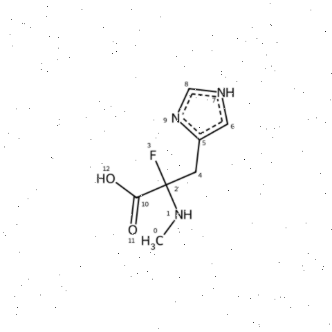 CNC(F)(Cc1c[nH]cn1)C(=O)O